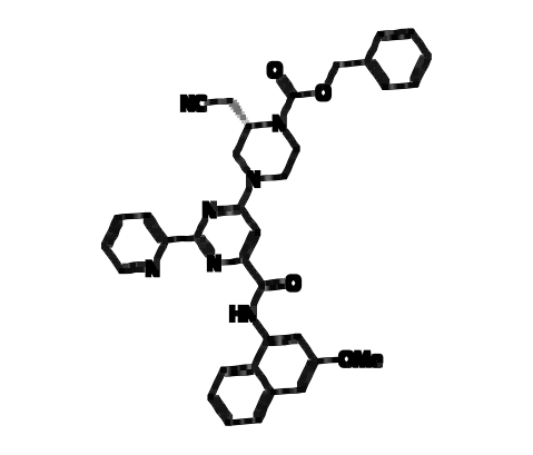 COc1cc(NC(=O)c2cc(N3CCN(C(=O)OCc4ccccc4)[C@@H](CC#N)C3)nc(-c3ccccn3)n2)c2ccccc2c1